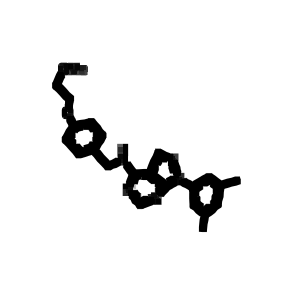 COCCOc1ccc(CNc2ncnc3c2cnn3-c2cc(C)cc(C)c2)cc1